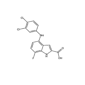 O=C(O)c1cc2c(Nc3ccc(Cl)c(Cl)c3)ccc(F)c2[nH]1